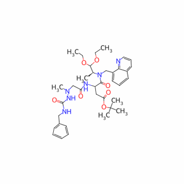 CCOC(OCC)[C@H](C)N(Cc1cccc2cccnc12)C(=O)C(CC(=O)OC(C)(C)C)NC(=O)CN(C)NC(=O)NCc1ccccc1